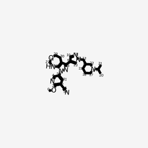 COc1ncc(-n2nc(-c3cnn(CC4CCCN(C(C)C)C4)c3)c3c2NCOCC3)cc1C#N